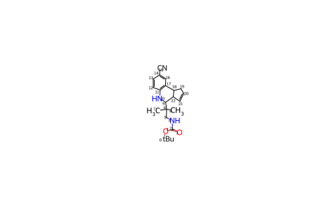 CC(C)(C)OC(=O)NCC(C)(C)C1Nc2ccc(C#N)cc2C2CC=CC21